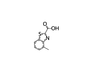 Cc1cccc2sc(C(=O)O)nc12